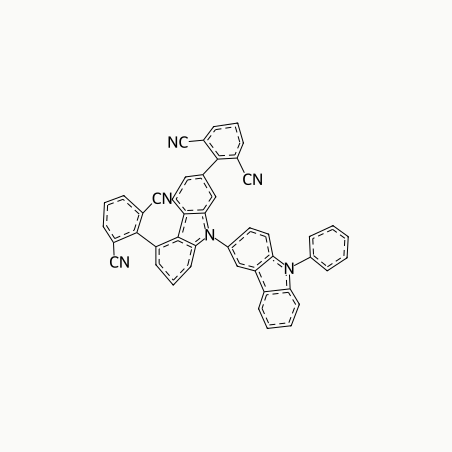 N#Cc1cccc(C#N)c1-c1ccc2c3c(-c4c(C#N)cccc4C#N)cccc3n(-c3ccc4c(c3)c3ccccc3n4-c3ccccc3)c2c1